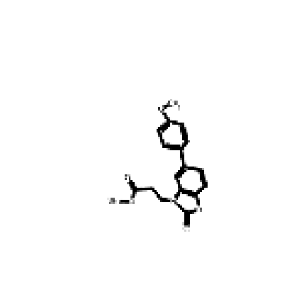 CC(C)(C)OC(=O)CCn1c(=O)oc2ccc(-c3ccc(OC(F)(F)F)cc3)cc21